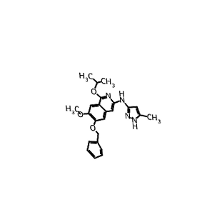 COc1cc2c(OC(C)C)nc(Nc3cc(C)[nH]n3)cc2cc1OCc1ccccc1